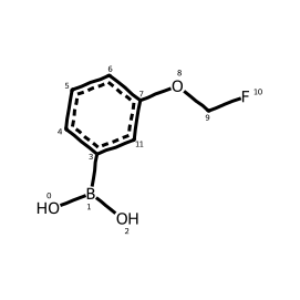 OB(O)c1cccc(OCF)c1